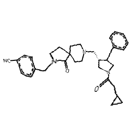 N#Cc1ccc(CN2CCC3(CCN(C[C@H]4CN(C(=O)CC5CC5)CC4c4ccccc4)CC3)C2=O)cc1